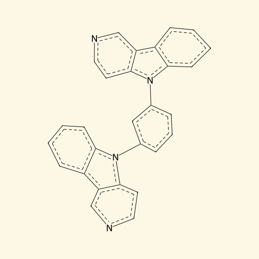 c1cc(-n2c3ccccc3c3cnccc32)cc(-n2c3ccccc3c3cnccc32)c1